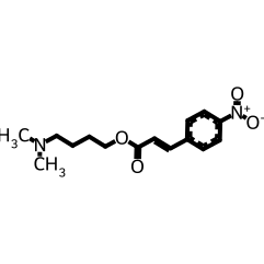 CN(C)CCCCOC(=O)/C=C/c1ccc([N+](=O)[O-])cc1